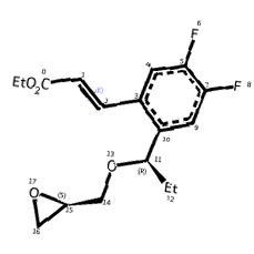 CCOC(=O)/C=C/c1cc(F)c(F)cc1[C@@H](CC)OC[C@H]1CO1